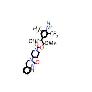 COC(OC(=O)N1CCC(N2CCc3ccccc3NC2=O)CC1)[C@H](C=O)c1cc(C)c(N)c(C(F)(F)F)c1